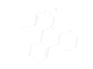 Cl.O=C(O)c1cccnc1-c1ccccc1C1CCCCC1